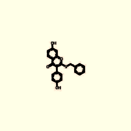 O=c1c(-c2ccc(O)cc2)c(SCc2ccccc2)oc2cc(O)ccc12